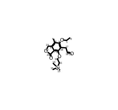 CCOc1c(C)c2c(c(OCC[Si](C)(C)C)c1CC=O)C(=O)OC2